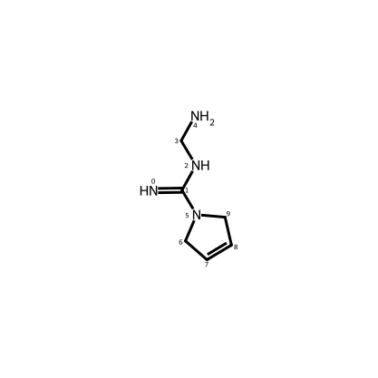 N=C(NCN)N1CC=CC1